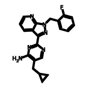 Nc1nc(-c2nn(Cc3ccccc3F)c3ncccc23)ncc1CC1CC1